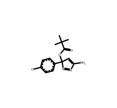 CC(C)(C)C(=O)OC1(c2ccc(Cl)cc2)C=C(N)N=N1